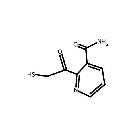 NC(=O)c1cccnc1C(=O)CS